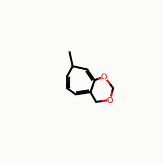 CC1C=CC=C2COCOC2=C1